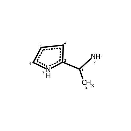 CC([NH])c1ccc[nH]1